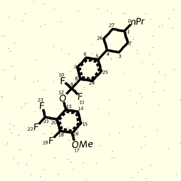 CCCC1CCC(c2ccc(C(F)(F)Oc3ccc(OC)c(F)c3C(F)F)cc2)CC1